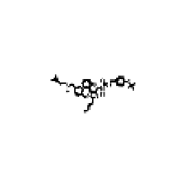 CCCCc1nc2c(NC(=O)OCc3ccc(SC(C)(C)C)cc3)nc3ccccc3c2n1Cc1ccc(CNCCC2CC2)cc1